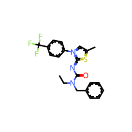 CCN(Cc1ccccc1)C(=O)/N=c1\sc(C)cn1-c1ccc(C(F)(F)F)cc1